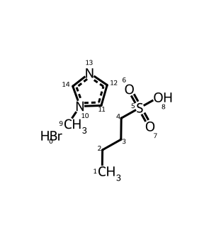 Br.CCCCS(=O)(=O)O.Cn1ccnc1